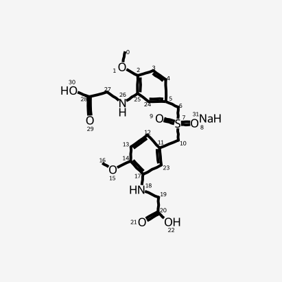 COc1ccc(CS(=O)(=O)Cc2ccc(OC)c(NCC(=O)O)c2)cc1NCC(=O)O.[NaH]